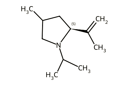 C=C(C)[C@@H]1CC(C)CN1C(C)C